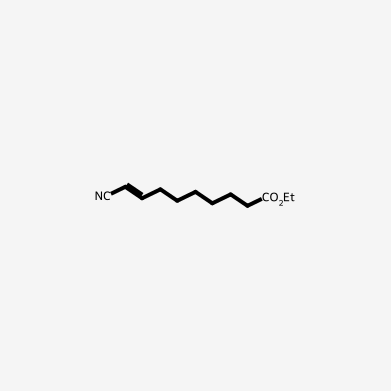 CCOC(=O)CCCCCCC=CC#N